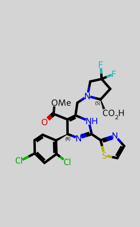 COC(=O)C1=C(CN2CC(F)(F)C[C@H]2C(=O)O)NC(c2nccs2)=N[C@H]1c1ccc(Cl)cc1Cl